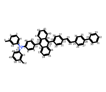 Cc1cccc(N(c2ccc(-c3c4ccccc4c(-c4ccc(/C=C/c5ccc(-c6ccccc6)cc5)cc4)c4ccccc34)cc2)c2cccc(C)c2)c1